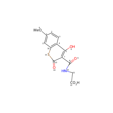 COc1ccc2c(O)c(C(=O)NCC(=O)O)c(=O)sc2c1